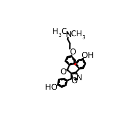 CN(C)CCCOc1ccc(C(=O)c2c(-c3ccc(O)cc3)noc2-c2ccc(O)cc2)cc1